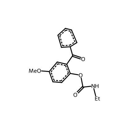 CCNC(=O)Oc1ccc(OC)cc1C(=O)c1ccccc1